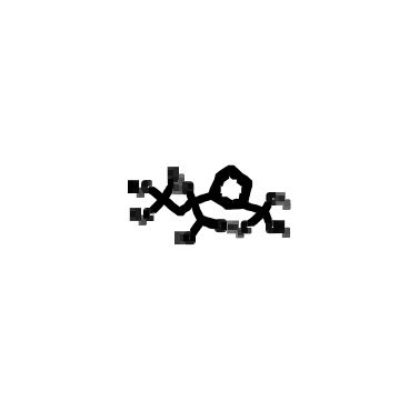 CC(C)(C)CC(O)(C(=O)O)c1cccc(C(C)(C)C)c1